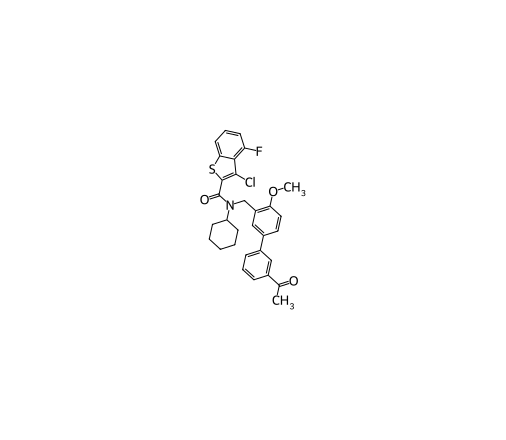 COc1ccc(-c2cccc(C(C)=O)c2)cc1CN(C(=O)c1sc2cccc(F)c2c1Cl)C1CCCCC1